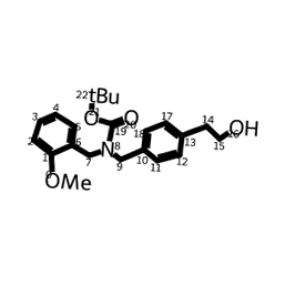 COc1ccccc1CN(Cc1ccc(CCO)cc1)C(=O)OC(C)(C)C